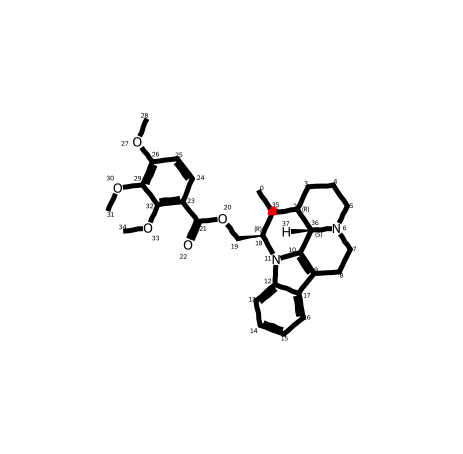 CC[C@@]12CCCN3CCc4c(n(c5ccccc45)[C@@H](COC(=O)c4ccc(OC)c(OC)c4OC)C1)[C@@H]32